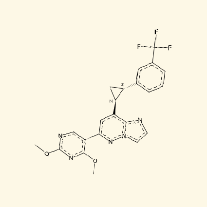 COc1ncc(-c2cc([C@H]3C[C@@H]3c3cccc(C(F)(F)F)c3)c3nccn3n2)c(OC)n1